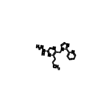 CCCc1nc(NN)cnc1Cn1ccnc1-c1ccccn1